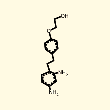 Nc1ccc(CCc2ccc(OCCO)cc2)c(N)c1